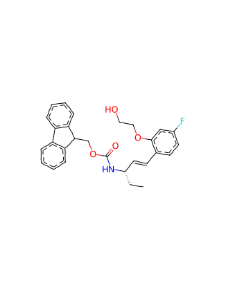 CC[C@@H](/C=C/c1ccc(F)cc1OCCO)NC(=O)OCC1c2ccccc2-c2ccccc21